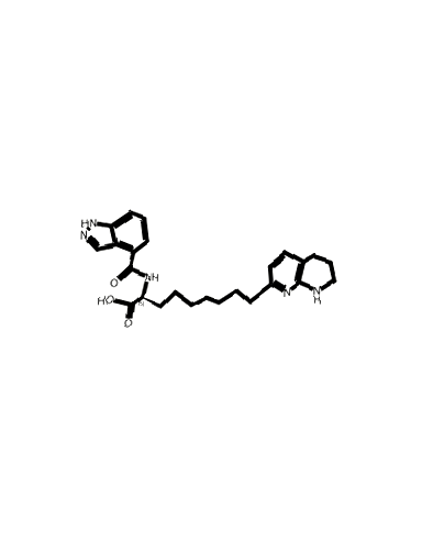 O=C(N[C@@H](CCCCCCCc1ccc2c(n1)NCCC2)C(=O)O)c1cccc2[nH]ncc12